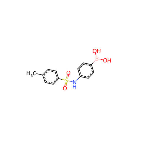 Cc1ccc(S(=O)(=O)Nc2ccc(B(O)O)cc2)cc1